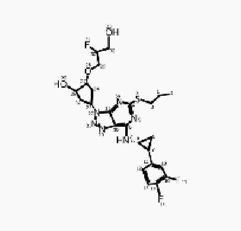 CCCSc1nc(N[C@@H]2C[C@H]2c2ccc(F)c(F)c2)c2nnn([C@H]3CC(O)[C@@H](OCC(F)CO)C3)c2n1